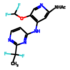 CC(=O)Nc1cc(Nc2ccnc(C(C)(F)F)n2)c(OC(F)F)cn1